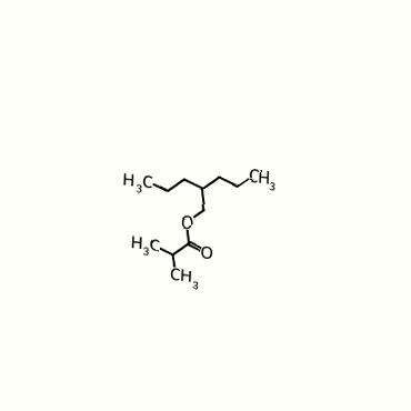 CCCC(CCC)COC(=O)C(C)C